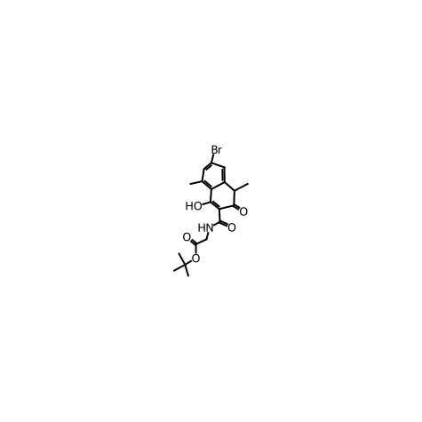 Cc1cc(Br)cc2c1C(O)=C(C(=O)NCC(=O)OC(C)(C)C)C(=O)C2C